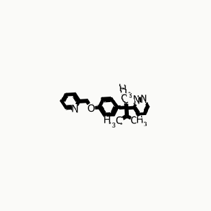 CC(C)C(C)(c1ccc(OCc2ccccn2)cc1)c1cccnn1